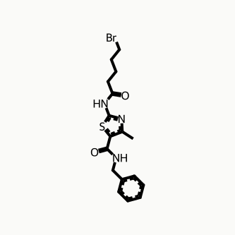 Cc1nc(NC(=O)CCCCBr)sc1C(=O)NCc1ccccc1